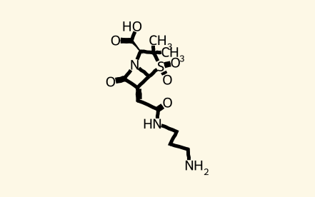 CC1(C)[C@H](C(=O)O)N2C(=O)/C(=C/C(=O)NCCCN)C2S1(=O)=O